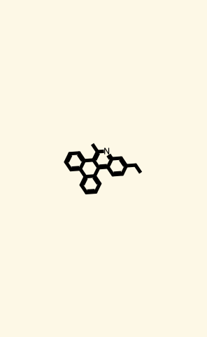 CCc1ccc2c(c1)nc(C)c1c3ccccc3c3ccccc3c21